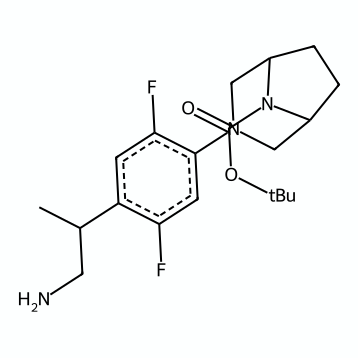 CC(CN)c1cc(F)c(N2CC3CCC(C2)N3C(=O)OC(C)(C)C)cc1F